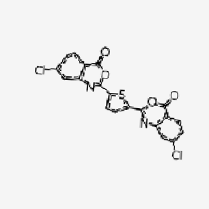 O=c1oc(-c2ccc(-c3nc4cc(Cl)ccc4c(=O)o3)s2)nc2cc(Cl)ccc12